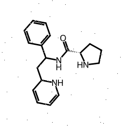 O=C(NC(CC1C=CC=CN1)c1ccccc1)[C@@H]1CCCN1